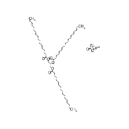 CCCCCCCCCCCCCCCCCC(=O)OCC(COC(=O)CCCCCCCCCCCCCCCCC)OC(=O)CCCCCCCCCCCCCCCCC.O=C([O-])[O-].[Ca+2]